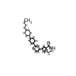 CCCCC1CCC(c2ccc(-c3nccc(-c4cc5n(n4)CCNC5=O)n3)cc2)CC1